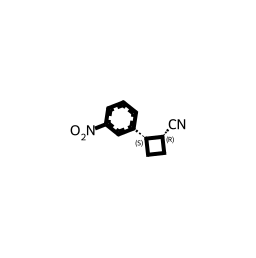 N#C[C@@H]1CC[C@@H]1c1cccc([N+](=O)[O-])c1